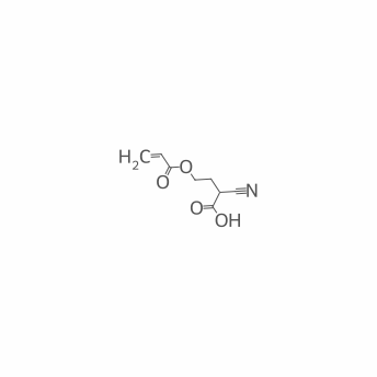 C=CC(=O)OCCC(C#N)C(=O)O